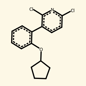 Clc1ccc(-c2ccccc2OC2CCCC2)c(Cl)n1